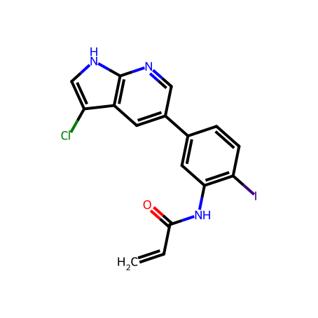 C=CC(=O)Nc1cc(-c2cnc3[nH]cc(Cl)c3c2)ccc1I